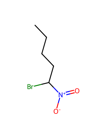 CCCCC(Br)[N+](=O)[O-]